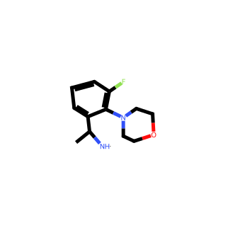 CC([NH])c1cccc(F)c1N1CCOCC1